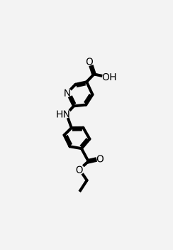 CCOC(=O)c1ccc(Nc2ccc(C(=O)O)cn2)cc1